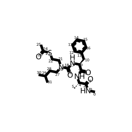 CNC(=O)[C@H](C)NC(=O)[C@H](Cc1ccccc1)NC(=O)N(CCSC(C)=O)CCC(C)C